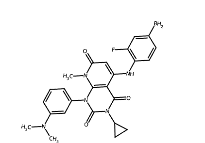 Bc1ccc(Nc2cc(=O)n(C)c3c2c(=O)n(C2CC2)c(=O)n3-c2cccc(N(C)C)c2)c(F)c1